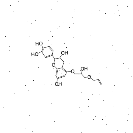 C=CCOCC(O)COc1cc(O)cc2c1CC(O)C(c1ccc(O)c(O)c1)O2